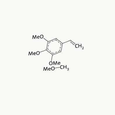 C=Cc1cc(OC)c(OC)c(OC)c1.COC